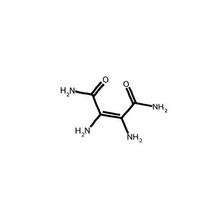 NC(=O)/C(N)=C(/N)C(N)=O